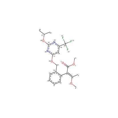 COC(=O)C(=C(C)OC)c1ccccc1COc1cc(C(F)(F)F)nc(OC(C)C)n1